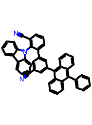 N#Cc1cc(-c2cccc(C#N)c2-n2c3ccccc3c3ccccc32)cc(-c2c3ccccc3c(-c3ccccc3)c3ccccc23)c1